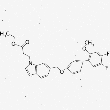 CCOC(=O)CCn1ccc2ccc(COc3ccc(-c4cc(F)c(F)cc4OC)cc3)cc21